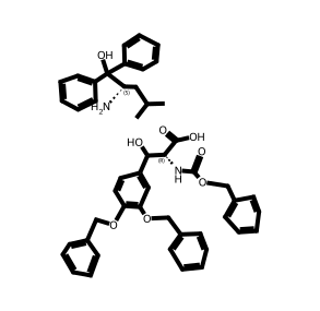 CC(C)C[C@H](N)C(O)(c1ccccc1)c1ccccc1.O=C(N[C@@H](C(=O)O)C(O)c1ccc(OCc2ccccc2)c(OCc2ccccc2)c1)OCc1ccccc1